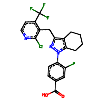 O=C(O)c1ccc(-n2nc(Cc3c(C(F)(F)F)ccnc3Cl)c3c2CCCC3)c(F)c1